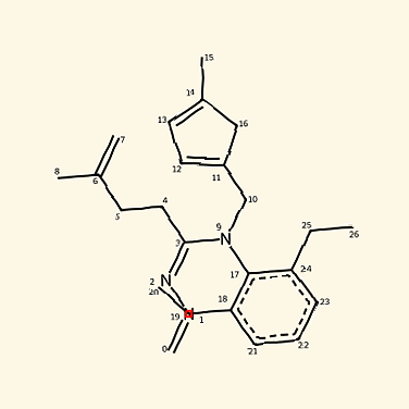 C=N/N=C(/CCC(=C)C)N(CC1=CC=C(C)C1)c1c(CC)cccc1CC